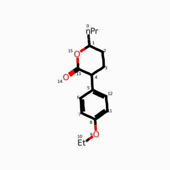 CCCC1CCC(c2ccc(OCC)cc2)C(=O)O1